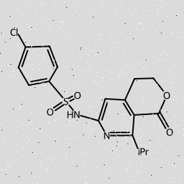 CC(C)c1nc(NS(=O)(=O)c2ccc(Cl)cc2)cc2c1C(=O)OCC2